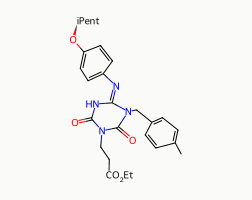 CCC[C@H](C)Oc1ccc(/N=c2\[nH]c(=O)n(CCC(=O)OCC)c(=O)n2Cc2ccc(C)cc2)cc1